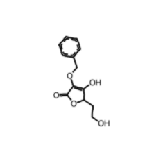 O=C1OC(CCO)C(O)=C1OCc1ccccc1